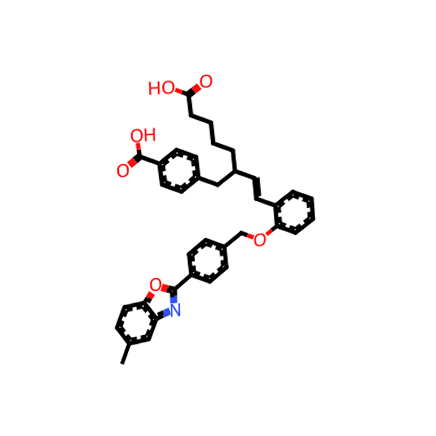 Cc1ccc2oc(-c3ccc(COc4ccccc4/C=C/C(CCCCC(=O)O)Cc4ccc(C(=O)O)cc4)cc3)nc2c1